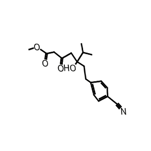 COC(=O)CC(=O)CC(O)(CCc1ccc(C#N)cc1)C(C)C